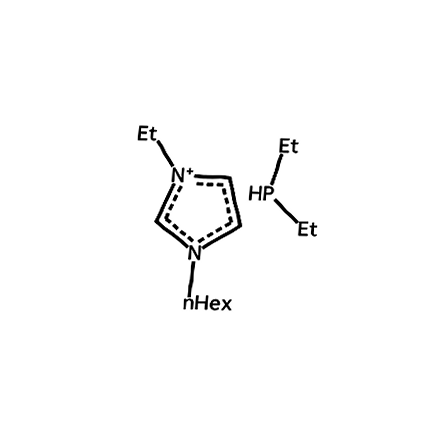 CCCCCCn1cc[n+](CC)c1.CCPCC